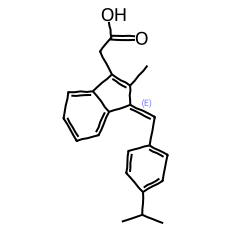 CC1=C(CC(=O)O)c2ccccc2/C1=C\c1ccc(C(C)C)cc1